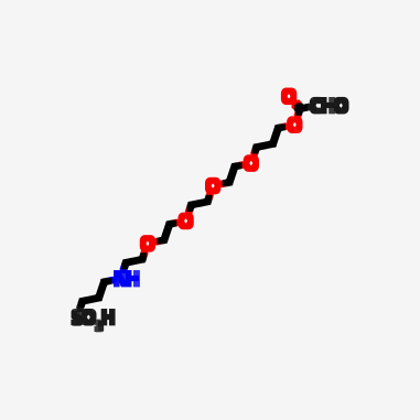 O=CC(=O)OCCCOCCOCCOCCOCCNCCCS(=O)(=O)O